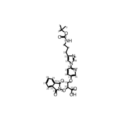 CC(C)(C)OC(=O)NCCCc1cn(-c2ccc(OCC(ON3C(=O)c4ccccc4C3=O)C(=O)O)cn2)cn1